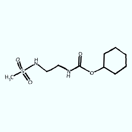 CS(=O)(=O)NCCNC(=O)OC1CCCCC1